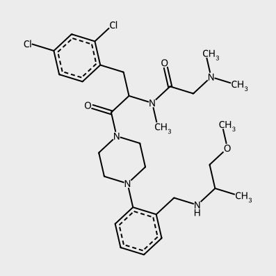 COCC(C)NCc1ccccc1N1CCN(C(=O)C(Cc2ccc(Cl)cc2Cl)N(C)C(=O)CN(C)C)CC1